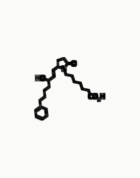 O=C(O)CCCCCCN1C(=O)CCC1C=CC(O)CCCCc1ccccc1